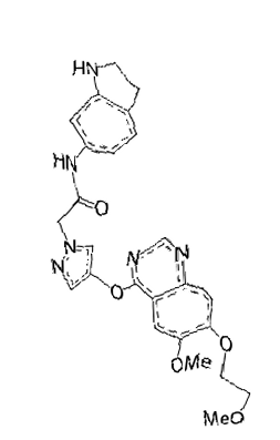 COCCOc1cc2ncnc(Oc3cnn(CC(=O)Nc4ccc5c(c4)NCC5)c3)c2cc1OC